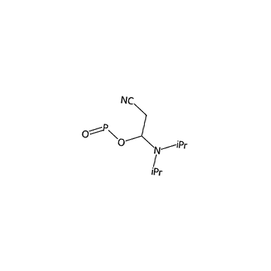 CC(C)N(C(C)C)C(CC#N)OP=O